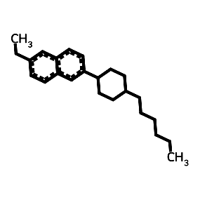 CCCCCCC1CCC(c2ccc3cc(CC)ccc3c2)CC1